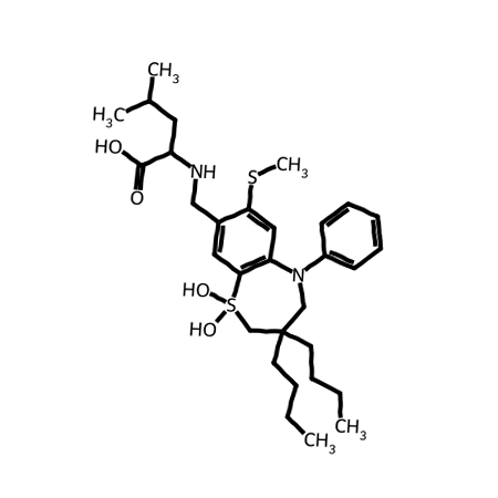 CCCCC1(CCCC)CN(c2ccccc2)c2cc(SC)c(CNC(CC(C)C)C(=O)O)cc2S(O)(O)C1